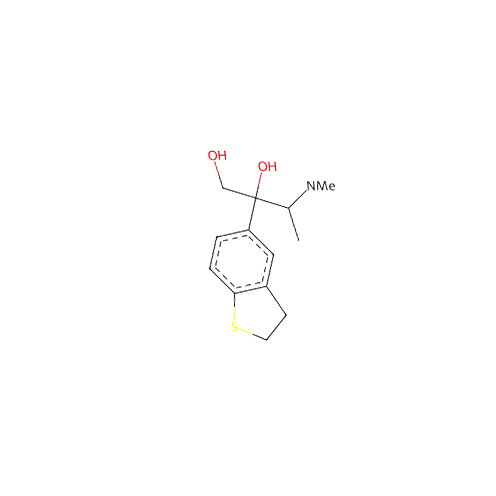 CNC(C)C(O)(CO)c1ccc2c(c1)CCS2